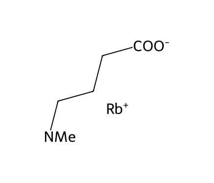 CNCCCC(=O)[O-].[Rb+]